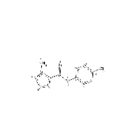 Cc1nscc1C(=O)Nc1ccc(Cl)cc1